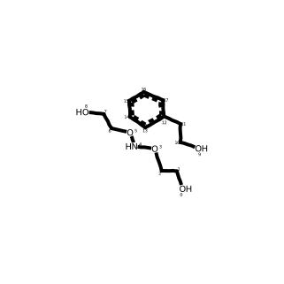 OCCONOCCO.OCCc1ccccc1